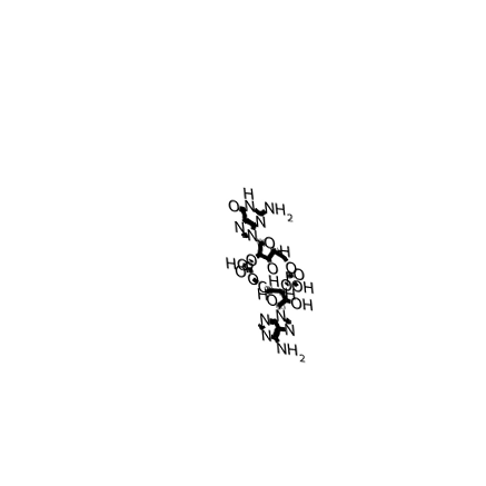 Nc1nc2c(ncn2[C@@H]2O[C@@H]3COP(=O)(O)O[C@@H]4C(O)[C@H](n5cnc6c(N)ncnc65)O[C@@H]4COP(=O)(O)OC2C3O)c(=O)[nH]1